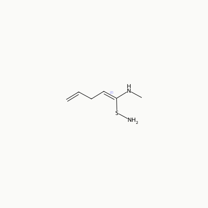 C=CC/C=C(/NC)SN